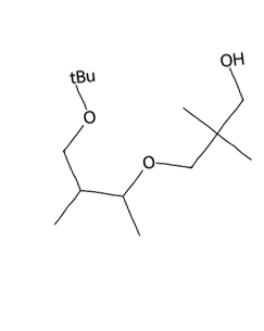 CC(COC(C)(C)C)C(C)OCC(C)(C)CO